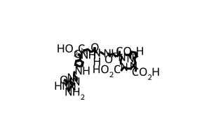 Nc1nc2ncc(CNc3ccc(C(=O)N[C@@H](CCC(=O)NCCNC(=O)CCC(C(=O)O)N4CCN(CC(=O)O)CCN(CC(=O)O)Cc5cccc(n5)C4)C(=O)O)cc3)nc2c(=O)[nH]1